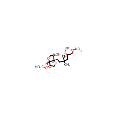 CC(C)(CC[C@]12OC[C@@H](OC(=O)O)[C@H]1OC[C@H]2O)CC(CO[N+](=O)[O-])O[N+](=O)[O-]